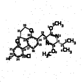 COC1=N[C@H](C(C)C)C(OC)=N[C@H]1Cc1ccc(-c2c(Cl)cc(F)cc2Cl)c2c1OCCC2